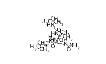 CC(C)[C@H](NC(=O)CCNC(C)(C)C)C(=O)N[C@@H](CCCNC(N)=O)C(=O)Nc1ccc(C(C)(C)C)cc1